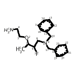 CC(OCCN)C(F)CN(Cc1ccccc1)Cc1ccccc1